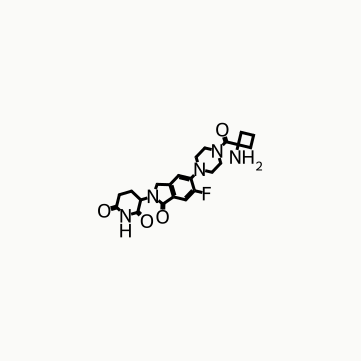 NC1(C(=O)N2CCN(c3cc4c(cc3F)C(=O)N(C3CCC(=O)NC3=O)C4)CC2)CCC1